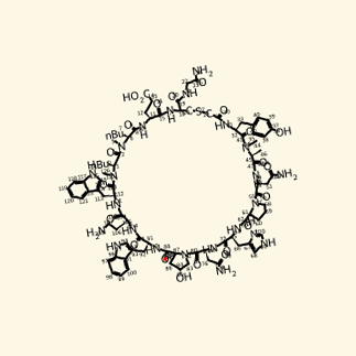 CCCC[C@H]1C(=O)N(C)[C@@H](CCCC)C(=O)N[C@@H](CCC(=O)O)C(=O)NC(C(=O)NCC(N)=O)CSCC(=O)N[C@@H](Cc2ccc(O)cc2)C(=O)N(C)[C@@H](C)C(=O)N[C@@H](CC(N)=O)C(=O)N2CCC[C@H]2C(=O)N[C@@H](Cc2c[nH]cn2)C(=O)N[C@@H](CC(N)=O)C(=O)N2C[C@H](O)C[C@H]2C(=O)N[C@@H](Cc2c[nH]c3ccccc23)C(=O)N[C@@H](CCN)C(=O)N[C@@H](Cc2c[nH]c3ccccc23)C(=O)N1C